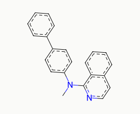 CN(c1ccc(-c2ccccc2)cc1)c1nccc2ccccc12